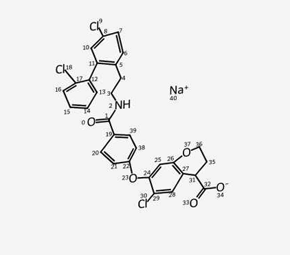 O=C(NCCc1ccc(Cl)cc1-c1ccccc1Cl)c1ccc(Oc2cc3c(cc2Cl)C(C(=O)[O-])CCO3)cc1.[Na+]